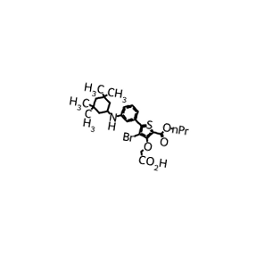 CCCOC(=O)c1sc(-c2cccc(NC3CC(C)(C)CC(C)(C)C3)c2)c(Br)c1OCC(=O)O